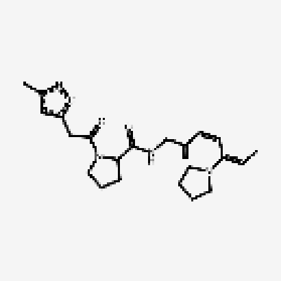 C=C(/C=C\C(=C/C)N1CCCC1)CNC(=O)C1CCCN1C(=O)Cc1cc(C)no1